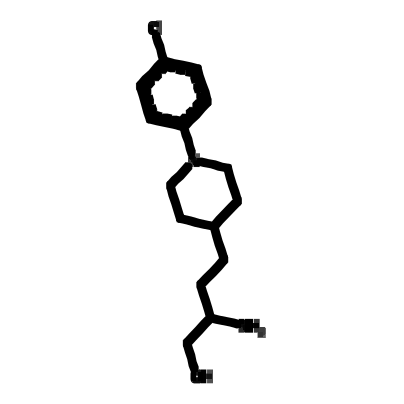 NC(CO)CCC1CCN(c2ccc(Cl)cc2)CC1